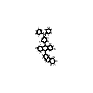 c1ccc(N(c2ccccc2)c2ccc(-c3c4ccccc4c(-c4ccc5sc6ccccc6c5c4)c4ccccc34)cc2)cc1